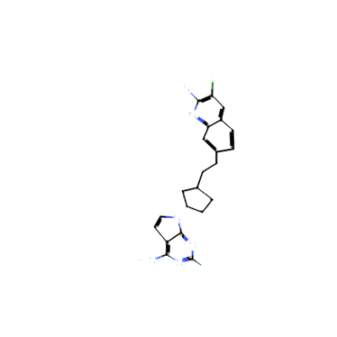 Nc1nc2cc(CCC3CC[C@H](n4ccc5c(N)nc(Cl)nc54)C3)ccc2cc1Cl